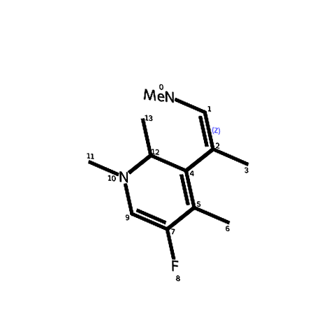 CN/C=C(/C)C1=C(C)C(F)=CN(C)C1C